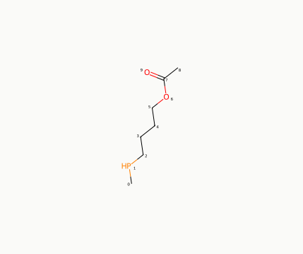 CPCCCCOC(C)=O